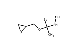 CCC(C)(OCC1CO1)PO